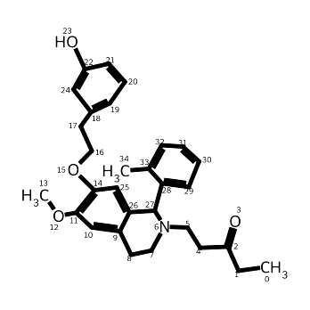 CCC(=O)CCN1CCc2cc(OC)c(OCCc3cccc(O)c3)cc2C1c1ccccc1C